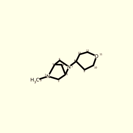 CN1CC2CC1CN2C1CCOCC1